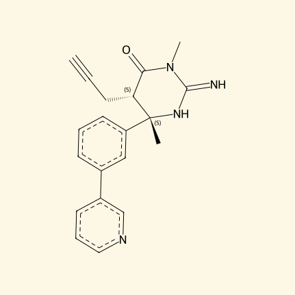 C#CC[C@@H]1C(=O)N(C)C(=N)N[C@]1(C)c1cccc(-c2cccnc2)c1